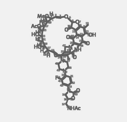 CO[C@H]1/C=C/O[C@@]2(C)Oc3c(C)c(O)c4c(c3C2=O)C(=O)C(N2CC(C(=O)N3CCN(c5ccc(N6C[C@H](CNC(C)=O)OC6=O)cc5F)CC3)C2)=C(NC(=O)/C(C)=C\C=C\[C@H](C)[C@H](O)[C@@H](C)[C@@H](O)[C@@H](C)[C@H](OC(C)=O)[C@@H]1C)C4=O